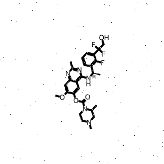 COc1cc2nc(C)nc(N[C@H](C)c3cccc(C(F)(F)CO)c3F)c2cc1OC(=O)N1CCN(C)CC1C